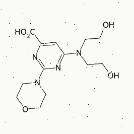 O=C(O)c1cc(N(CCO)CCO)nc(N2CCOCC2)n1